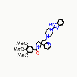 COc1cc(C(=O)N2CCC(CCN3CCCN(c4nc5ccccc5[nH]4)CC3)(c3cccnc3)C2)cc(OC)c1OC